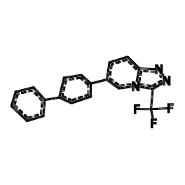 FC(F)(F)c1nnc2ccc(-c3ccc(-c4ccccc4)cc3)cn12